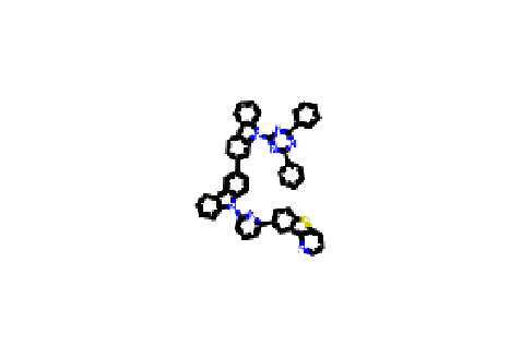 c1ccc(-c2nc(-c3ccccc3)nc(-n3c4ccccc4c4ccc(-c5ccc6c(c5)c5ccccc5n6-c5cccc(-c6ccc7sc8cccnc8c7c6)n5)cc43)n2)cc1